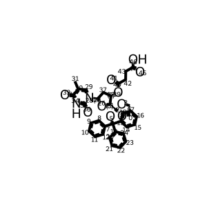 COC(OC)(OC(c1ccccc1)(c1ccccc1)c1ccccc1)[C@H]1O[C@@H](n2cc(C)c(=O)[nH]c2=O)C[C@@H]1OC(=O)CCC(=O)O